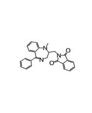 CN1c2ccccc2C(c2ccccc2)=NCC1CN1C(=O)c2ccccc2C1=O